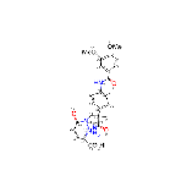 COc1ccc(C(=O)Nc2ccc(C(C)(Cn3nc(C(=O)O)ccc3=O)C(N)=O)cc2)cc1OC